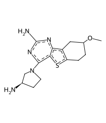 COC1CCc2sc3c(N4CC[C@@H](N)C4)nc(N)nc3c2C1